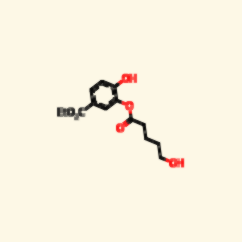 CCOC(=O)c1ccc(O)c(OC(=O)CCCCO)c1